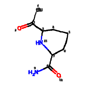 CC(C)(C)C(=O)C1CCCC(C(N)=O)N1